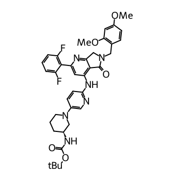 COc1ccc(CN2Cc3nc(-c4c(F)cccc4F)cc(Nc4ccc(N5CCC[C@H](NC(=O)OC(C)(C)C)C5)cn4)c3C2=O)c(OC)c1